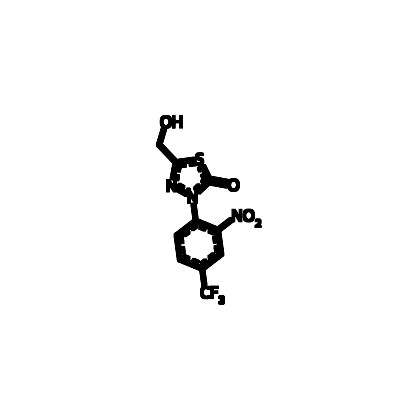 O=c1sc(CO)nn1-c1ccc(C(F)(F)F)cc1[N+](=O)[O-]